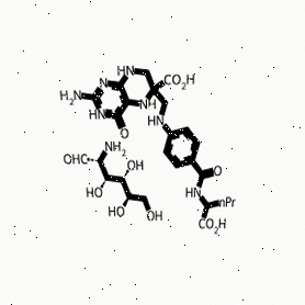 CCCC(NC(=O)c1ccc(NCC2(C(=O)O)CNc3nc(N)[nH]c(=O)c3N2)cc1)C(=O)O.N[C@@H](C=O)[C@@H](O)[C@H](O)[C@H](O)CO